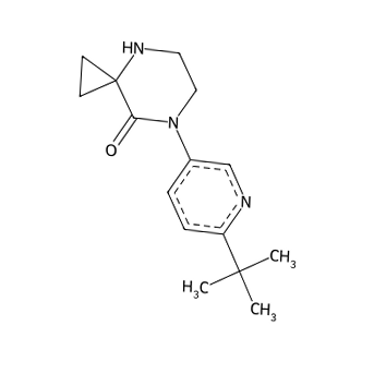 CC(C)(C)c1ccc(N2CCNC3(CC3)C2=O)cn1